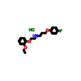 CCOc1ccccc1OCCNCCCOc1ccc(F)cc1.Cl